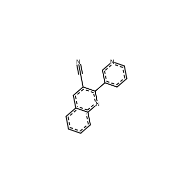 N#Cc1cc2ccccc2nc1-c1cccnc1